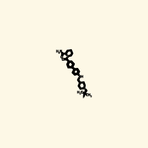 CC(C)(F)CN1CCC(CNc2ccc(-c3ccc(C(=O)N4CCCCC4C(N)=O)cc3)cc2)CC1